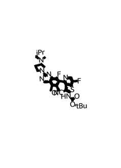 CC(C)CN(C)[C@H]1CCN(c2ncc3c4c(c(-c5ncc(F)c6sc(NC(=O)OC(C)(C)C)c(C#N)c56)c(F)c3n2)COC4)C1